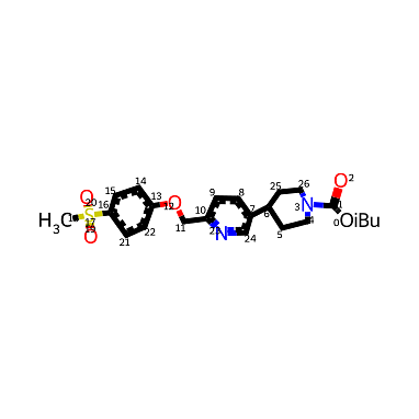 CC(C)COC(=O)N1CCC(c2ccc(COc3ccc(S(C)(=O)=O)cc3)nc2)CC1